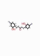 O=C(CCc1ccc(I)cc1O)CCc1ccc(I)cc1O